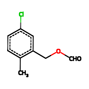 Cc1ccc(Cl)cc1COC=O